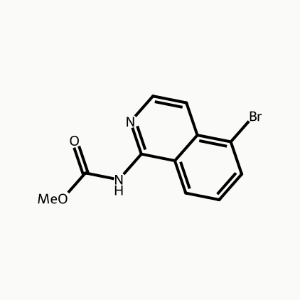 COC(=O)Nc1nccc2c(Br)cccc12